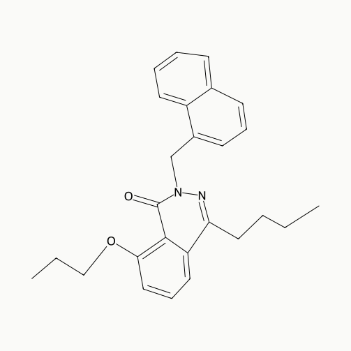 CCCCc1nn(Cc2cccc3ccccc23)c(=O)c2c(OCCC)cccc12